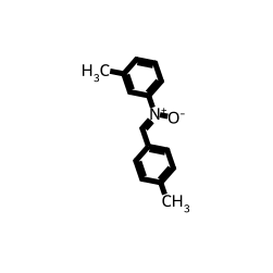 Cc1ccc(C=[N+]([O-])c2cccc(C)c2)cc1